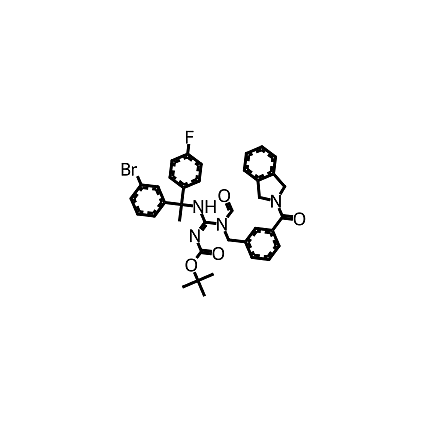 CC(C)(C)OC(=O)N=C(NC(C)(c1ccc(F)cc1)c1cccc(Br)c1)N(C=O)Cc1cccc(C(=O)N2Cc3ccccc3C2)c1